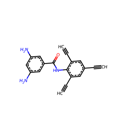 C#Cc1cc(C#C)c(NC(=O)c2cc(N)cc(N)c2)c(C#C)c1